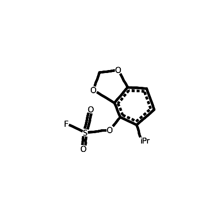 CC(C)c1ccc2c(c1OS(=O)(=O)F)OCO2